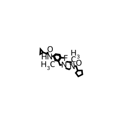 Cc1c(NC(=O)C2CC2)ccc(F)c1CN1CCN(C(=O)C2CCCC2)[C@@H](C)C1